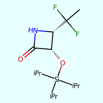 CC(C)[Si](O[C@@H]1C(=O)N[C@@H]1C(C)(F)F)(C(C)C)C(C)C